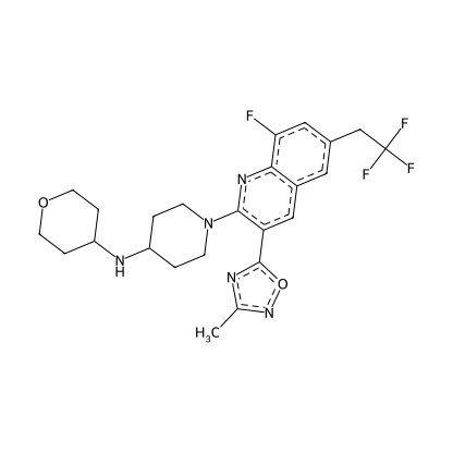 Cc1noc(-c2cc3cc(CC(F)(F)F)cc(F)c3nc2N2CCC(NC3CCOCC3)CC2)n1